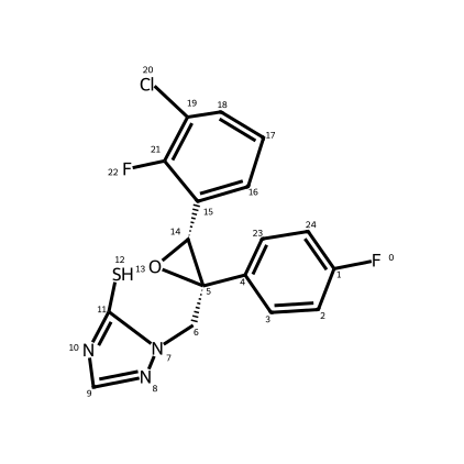 Fc1ccc([C@@]2(Cn3ncnc3S)O[C@@H]2c2cccc(Cl)c2F)cc1